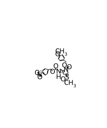 COc1ccc(COC(=O)N2C[C@@H](SC(C)=O)C[C@H]2CNC(=O)OCc2ccc([N+](=O)[O-])cc2)cc1